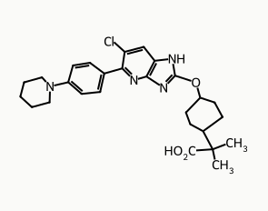 CC(C)(C(=O)O)C1CCC(Oc2nc3nc(-c4ccc(N5CCCCC5)cc4)c(Cl)cc3[nH]2)CC1